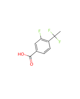 CC(F)(F)c1ccc(C(=O)O)cc1F